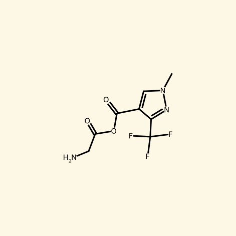 Cn1cc(C(=O)OC(=O)CN)c(C(F)(F)F)n1